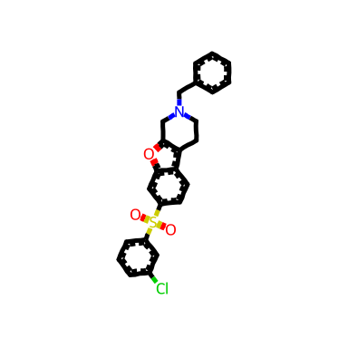 O=S(=O)(c1cccc(Cl)c1)c1ccc2c3c(oc2c1)CN(Cc1ccccc1)CC3